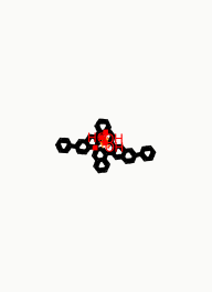 OP(O)(O)(c1cc2ccc(-c3ccccc3)cc2cc1-c1ccccc1)c1ccc2ccccc2c1-c1cc2ccc(-c3ccccc3)cc2cc1-c1ccccc1